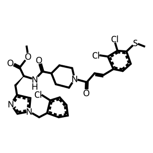 COC(=O)[C@H](Cc1cn(Cc2ccccc2Cl)cn1)NC(=O)C1CCN(C(=O)/C=C/c2ccc(SC)c(Cl)c2Cl)CC1